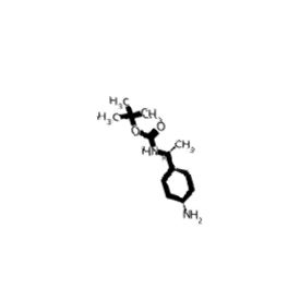 C[C@@H](NC(=O)OC(C)(C)C)[C@H]1CC[C@H](N)CC1